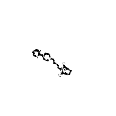 O=C1C2CCC(S2)C(=O)N1CCCCN1CCN(c2ncccn2)CC1